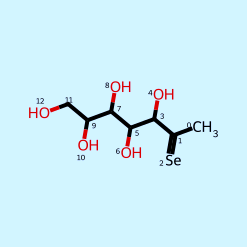 CC(=[Se])C(O)C(O)C(O)C(O)CO